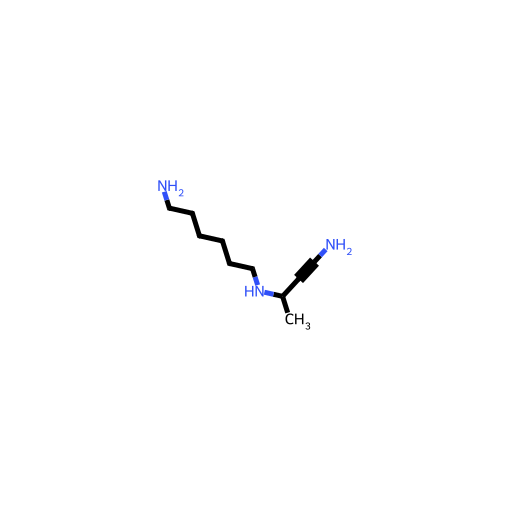 CC(C#CN)NCCCCCCN